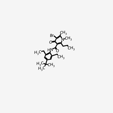 CCCc1c(C(=O)Nc2c(CC)cc(C(C)(C)C)cc2CC)c(=O)c(Br)c(C)n1C